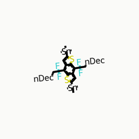 CCCCCCCCCCCC(F)(F)c1c2c[c]([Sn]([CH3])([CH3])[CH3])sc2c(C(F)(F)CCCCCCCCCCC)c2c[c]([Sn]([CH3])([CH3])[CH3])sc12